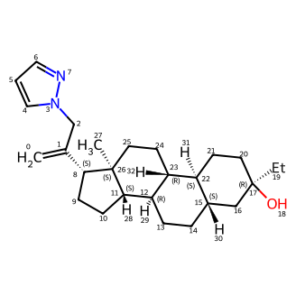 C=C(Cn1cccn1)[C@H]1CC[C@H]2[C@@H]3CC[C@H]4C[C@@](O)(CC)CC[C@@H]4[C@H]3CC[C@]12C